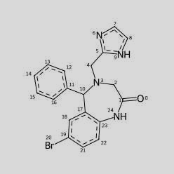 O=C1CN(Cc2ncc[nH]2)C(c2ccccc2)c2cc(Br)ccc2N1